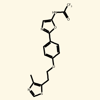 Cc1ncsc1CCOc1ccc(-c2ncc(NC(=O)C(F)(F)F)o2)cc1